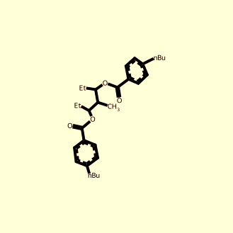 CCCCc1ccc(C(=O)OC(CC)C(C)C(CC)OC(=O)c2ccc(CCCC)cc2)cc1